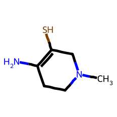 CN1CCC(N)=C(S)C1